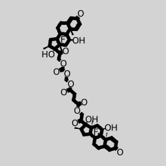 C[C@@H]1CC2C3CCC4=CC(=O)C=C[C@]4(C)[C@@]3(F)[C@@H](O)C[C@]2(C)[C@@]1(O)C(=O)COC(=O)CCC(=O)OCOC(=O)OCC(=O)[C@@]1(O)[C@@H](C)CC2C3CCC4=CC(=O)C=C[C@]4(C)[C@@]3(F)[C@@H](O)C[C@@]21C